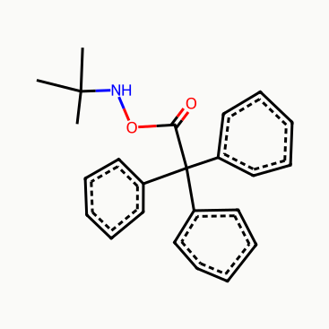 CC(C)(C)NOC(=O)C(c1ccccc1)(c1ccccc1)c1ccccc1